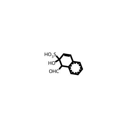 O=CC1c2ccccc2C=CC1(O)S(=O)(=O)O